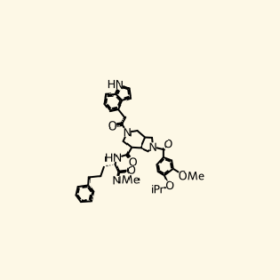 CNC(=O)[C@H](CCCc1ccccc1)NC(=O)C1CN(C(=O)Cc2cccc3[nH]ccc23)CC2CN(C(=O)c3ccc(OC(C)C)c(OC)c3)CC21